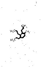 [CH2]c1ccc(CCC)c(CCC)c1CCC